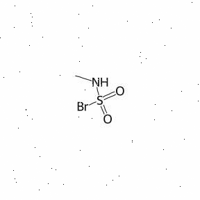 CNS(=O)(=O)Br